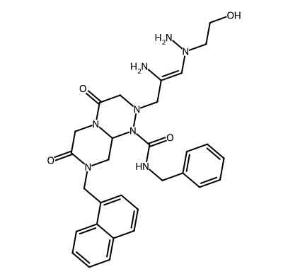 N/C(=C\N(N)CCO)CN1CC(=O)N2CC(=O)N(Cc3cccc4ccccc34)CC2N1C(=O)NCc1ccccc1